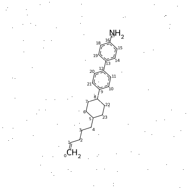 C=CCCCC1CCC(c2ccc(-c3ccc(N)cc3)cc2)CC1